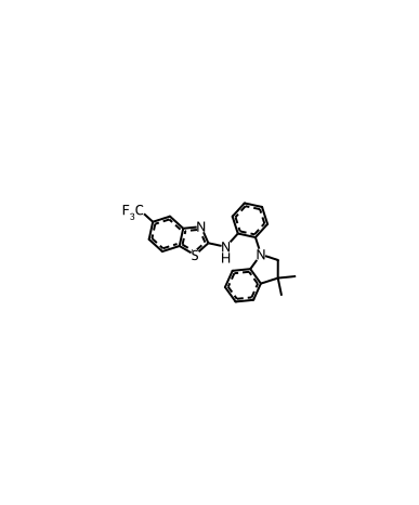 CC1(C)CN(c2ccccc2Nc2nc3cc(C(F)(F)F)ccc3s2)c2ccccc21